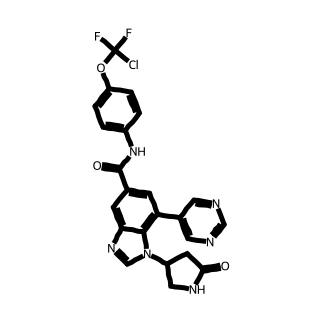 O=C1CC(n2cnc3cc(C(=O)Nc4ccc(OC(F)(F)Cl)cc4)cc(-c4cncnc4)c32)CN1